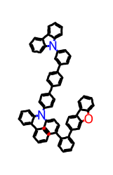 c1ccc(-c2ccccc2N(c2ccc(-c3ccc(-c4cccc(-n5c6ccccc6c6ccccc65)c4)cc3)cc2)c2ccc(-c3ccccc3-c3ccc4c(c3)oc3ccccc34)cc2)cc1